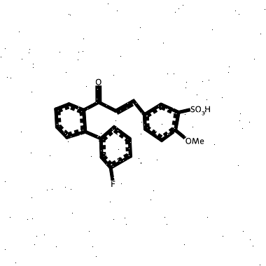 COc1ccc(/C=C/C(=O)c2ccccc2-c2cccc(F)c2)cc1S(=O)(=O)O